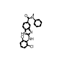 CN(C(=O)c1ccc2[nH]c(Nc3c(Cl)cccc3Cl)nc2c1)c1ccccc1